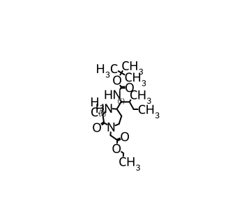 CCOC(=O)CN1CCC([C@@H](NC(=O)OC(C)(C)C)C(C)CC)N[C@@H](C)C1=O